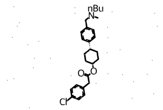 CCCCN(C)Cc1ccc([C@H]2CC[C@H](OC(=O)Cc3ccc(Cl)cc3)CC2)cc1